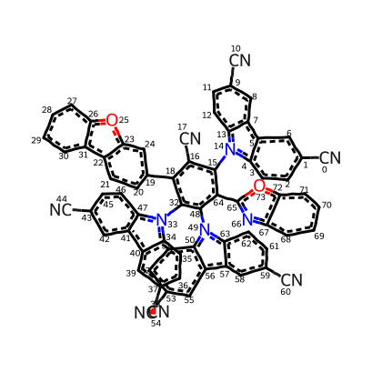 N#Cc1ccc2c(c1)c1cc(C#N)ccc1n2-c1c(C#N)c(-c2ccc3c(c2)oc2ccccc23)c(-n2c3ccc(C#N)cc3c3cc(C#N)ccc32)c(-n2c3ccc(C#N)cc3c3cc(C#N)ccc32)c1-c1nc2ccccc2o1